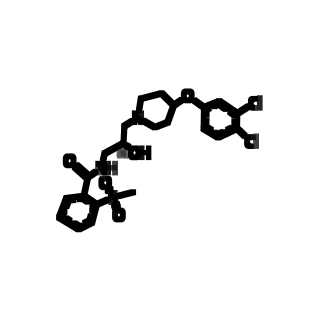 CS(=O)(=O)c1ccccc1C(=O)NC[C@H](O)CN1CCC(Oc2ccc(Cl)c(Cl)c2)CC1